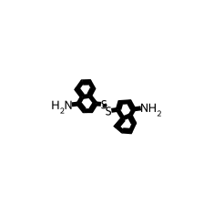 Nc1ccc(SSc2ccc(N)c3ccccc23)c2ccccc12